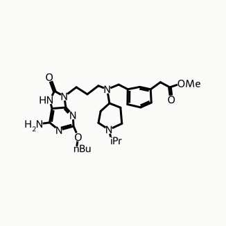 CCCCOc1nc(N)c2[nH]c(=O)n(CCCN(Cc3cccc(CC(=O)OC)c3)C3CCN(C(C)C)CC3)c2n1